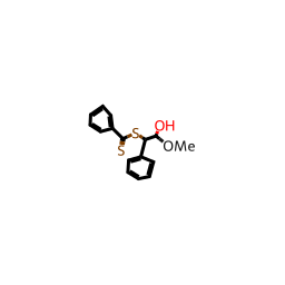 COC(O)C(SC(=S)c1ccccc1)c1ccccc1